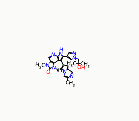 Cc1cn2cc(-c3c(-c4cnn(CC(C)(C)O)c4)[nH]c4ncc5c(c34)n(C(C)C)c(=O)n5C)cc2cn1